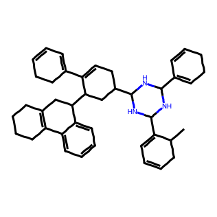 CC1CC=CC=C1C1NC(C2=CCCC=C2)NC(C2CC=C(C3=CC=CCC3)C(C3CC4=C(CCCC4)c4ccccc43)C2)N1